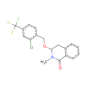 CN1C(=O)c2ccccc2CC1OCc1ccc(C(F)(F)F)cc1Cl